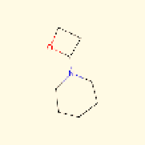 C1CCN(C2CCO2)CC1